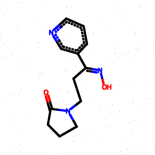 O=C1CCCN1CCC(=NO)c1cccnc1